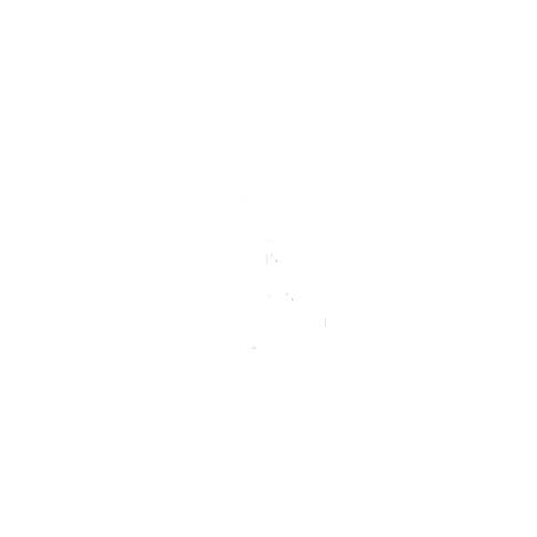 O=C(NC[C@@H]1[C@H]2C[C@H]2CN1C(=O)c1ccccc1-c1ccccc1)c1cccc2occc12